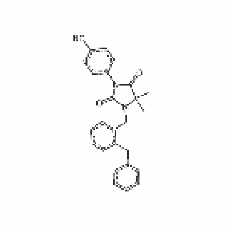 CC1(C)C(=O)N(c2ccc(C#N)nc2)C(=O)N1Cc1ccccc1Cc1ccccc1